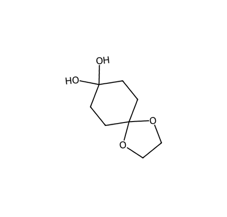 OC1(O)CCC2(CC1)OCCO2